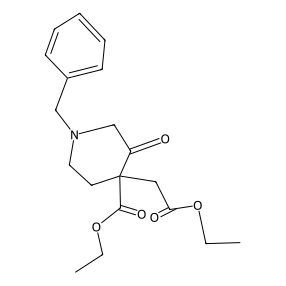 CCOC(=O)CC1(C(=O)OCC)CCN(Cc2ccccc2)CC1=O